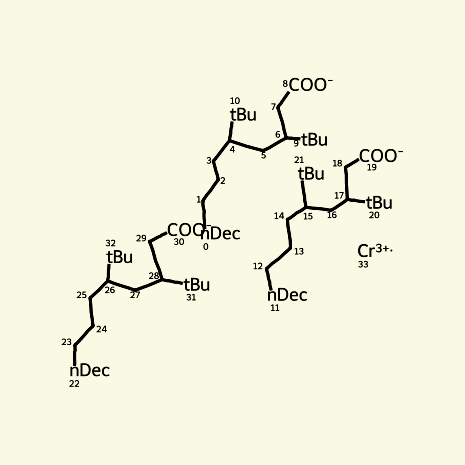 CCCCCCCCCCCCCC(CC(CC(=O)[O-])C(C)(C)C)C(C)(C)C.CCCCCCCCCCCCCC(CC(CC(=O)[O-])C(C)(C)C)C(C)(C)C.CCCCCCCCCCCCCC(CC(CC(=O)[O-])C(C)(C)C)C(C)(C)C.[Cr+3]